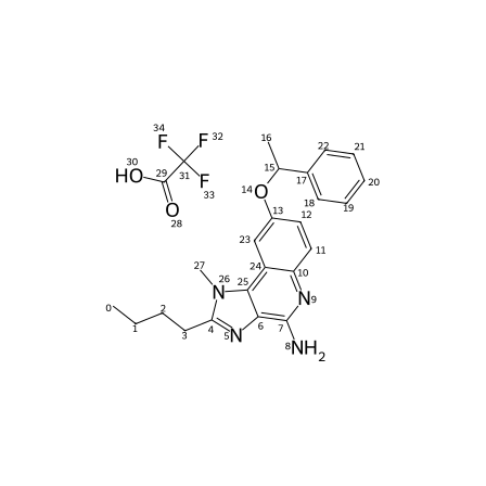 CCCCc1nc2c(N)nc3ccc(OC(C)c4ccccc4)cc3c2n1C.O=C(O)C(F)(F)F